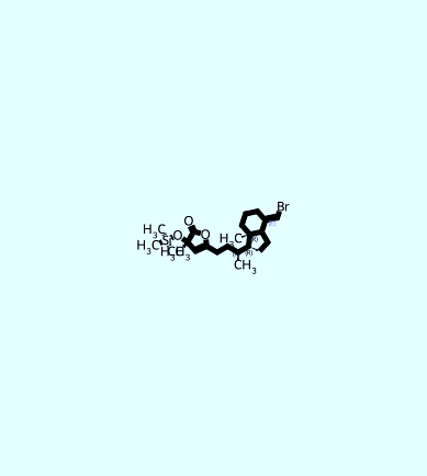 C[C@H](CCC1=C[C@](C)(O[Si](C)(C)C)C(=O)O1)[C@H]1CCC2/C(=C/Br)CCC[C@@]21C